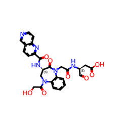 O=C[C@H](CC(=O)O)NC(=O)CN1C(=O)[C@@H](NC(=O)c2ccc3cnccc3n2)CN(C(=O)CO)c2ccccc21